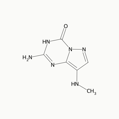 CNc1cnn2c(=O)[nH]c(N)nc12